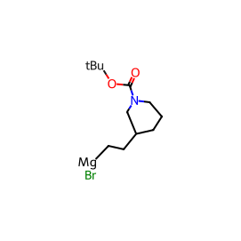 CC(C)(C)OC(=O)N1CCCC(C[CH2][Mg][Br])C1